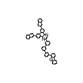 c1cc(-c2cccc(-c3cnc4c5ccc(-c6ccc7ccccc7c6)cc5c5cc(-c6ccc7ccccc7c6)ccc5c4n3)c2)cc(-c2cccc(-c3cccc4c3oc3ccccc34)c2)c1